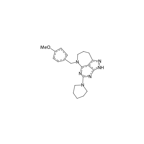 COc1ccc(CN2CCCc3n[nH]c4nc(N5CCCCC5)nc2c34)cc1